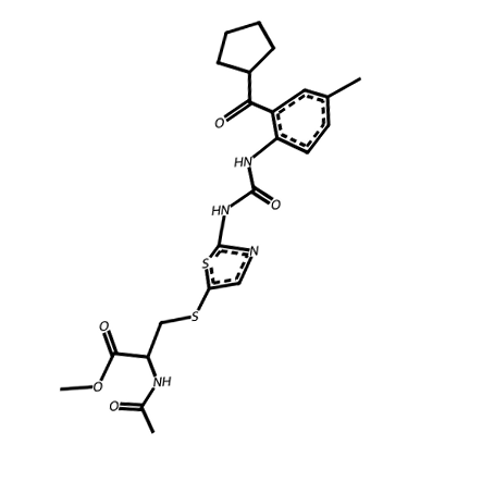 COC(=O)C(CSc1cnc(NC(=O)Nc2ccc(C)cc2C(=O)C2CCCC2)s1)NC(C)=O